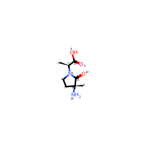 C[C@@H](C(=O)O)N1CC[C@@](C)(N)C1=O